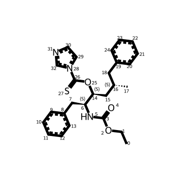 CCOC(=O)N[C@@H](Cc1ccccc1)[C@H](C[C@@H](C)Cc1ccccc1)OC(=S)n1ccnc1